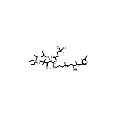 CC[Si](CC)(CC)O[C@H](CC(=O)O)C(C)(C)C(=O)[C@H](C)[C@@H](OC(=O)OCC(Cl)(Cl)Cl)[C@@H](C)CCC/C(C)=C/CC(O)/C(C)=C/c1csc(C)n1